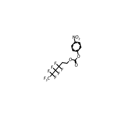 O=C(OCCC(F)(F)C(F)(F)C(F)(F)C(F)(F)F)Oc1ccc([N+](=O)[O-])cc1